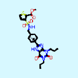 CCCn1c(=O)c2[nH]c(C34CCC(CNS(=O)(=O)c5ccsc5C(=O)OC)(CC3)CC4)nc2n(CCC)c1=O